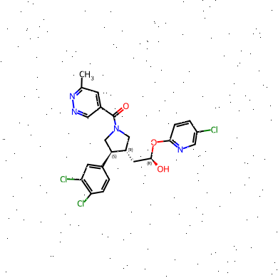 Cc1cc(C(=O)N2C[C@H](C[C@H](O)Oc3ccc(Cl)cn3)[C@@H](c3ccc(Cl)c(Cl)c3)C2)cnn1